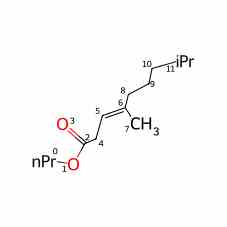 CCCOC(=O)C/C=C(\C)CCCC(C)C